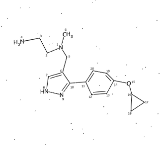 CN(CCN)Cc1c[nH]nc1-c1ccc(OC2CC2)cc1